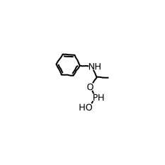 CC(Nc1ccccc1)OPO